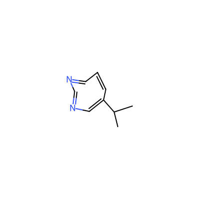 CC(C)C1=C/N=C/N=C/C=C\1